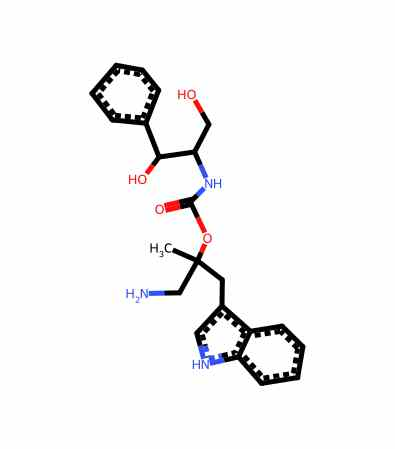 CC(CN)(Cc1c[nH]c2ccccc12)OC(=O)NC(CO)C(O)c1ccccc1